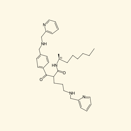 CCCCCC[C@H](C)NC(=O)C(CCCNCc1ccccn1)C(=O)c1ccc(CNCc2ccccn2)cc1